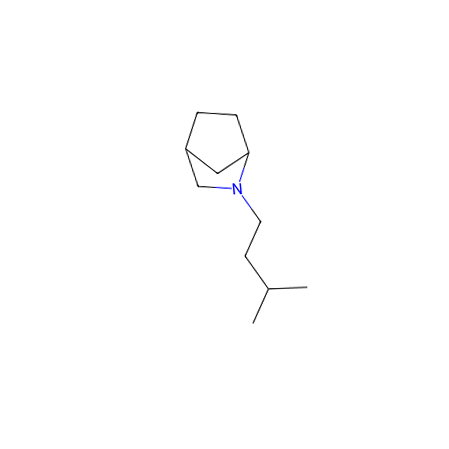 CC(C)CCN1CC2CCC1C2